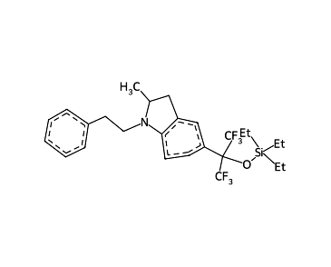 CC[Si](CC)(CC)OC(c1ccc2c(c1)CC(C)N2CCc1ccccc1)(C(F)(F)F)C(F)(F)F